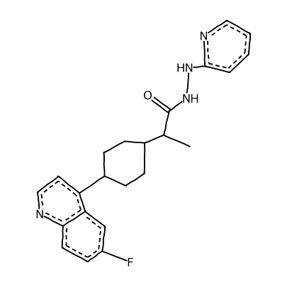 CC(C(=O)NNc1ccccn1)C1CCC(c2ccnc3ccc(F)cc23)CC1